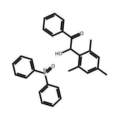 Cc1cc(C)c(C(O)C(=O)c2ccccc2)c(C)c1.O=[PH](c1ccccc1)c1ccccc1